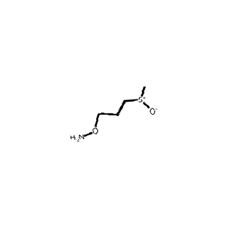 C[S+]([O-])CCCON